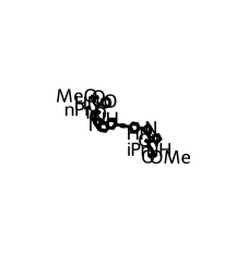 CCCN(Cc1nc2ccc3cc(C#CC4=CCC(C5CN=C([C@@H]6CCCN6C(=O)[C@@H](NC(=O)OC)C(C)C)N5)C=C4)ccc3c2[nH]1)C(=O)[C@@H](NC(=O)OC)C1CCOCC1